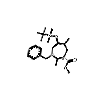 COC(=O)[C@H]1CC(C)C(O[Si](C)(C)C(C)(C)C)CN(Cc2ccccc2)C1C